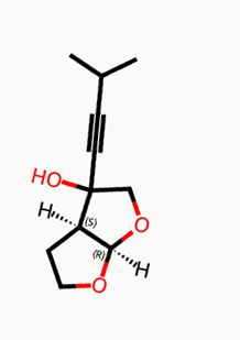 CC(C)C#CC1(O)CO[C@H]2OCC[C@H]21